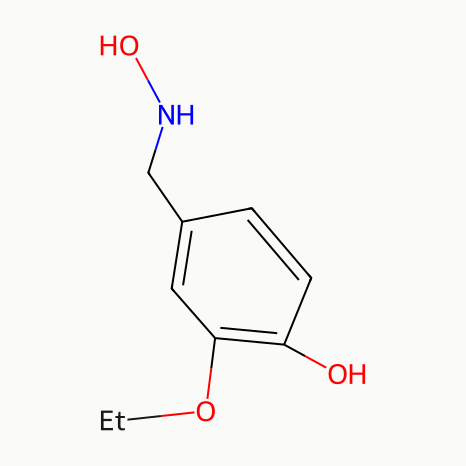 CCOc1cc(CNO)ccc1O